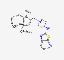 COc1cc(CN2CCC(Nc3nc4cccnc4s3)CC2)c(OC)c2ccccc12